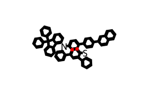 c1ccc(C2(c3ccccc3)c3ccccc3-c3c(N(c4ccc(-c5ccc(-c6ccc7ccccc7c6)cc5)cc4)c4ccccc4-c4ccc5sc6ccccc6c5c4)cccc32)cc1